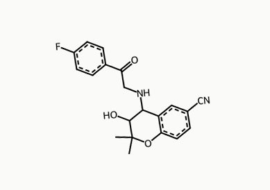 CC1(C)Oc2ccc(C#N)cc2C(NCC(=O)c2ccc(F)cc2)C1O